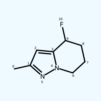 Cc1cc2n(n1)CCCC2F